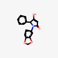 O=C1[C]=C(O)C(c2ccccc2)N1c1ccc2c(c1)OCO2